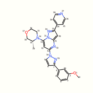 COc1cccc(-c2ccn(-c3cc(N4CCOC[C@H]4C)n4nc(-c5ccncc5)cc4n3)n2)c1